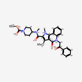 COc1c(C(=O)N(C)C2CCN(C(=O)OC(C)(C)C)CC2)n(C)c2c1c(=O)n(CC(=O)c1ccccc1)c1ccccc21